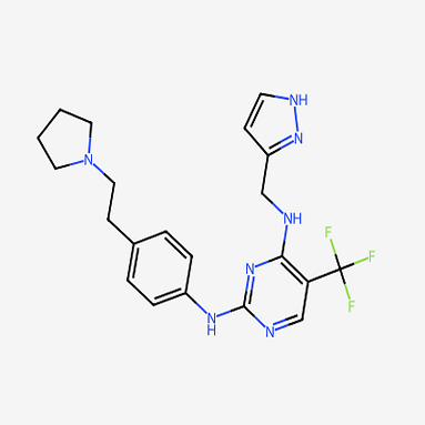 FC(F)(F)c1cnc(Nc2ccc(CCN3CCCC3)cc2)nc1NCc1cc[nH]n1